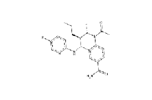 CCC[C@@H]1[C@@H](Nc2ccc(F)cn2)c2cc(C(N)=O)ccc2N(C(C)=O)[C@H]1C